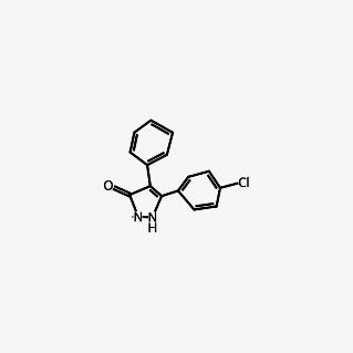 O=C1[N]NC(c2ccc(Cl)cc2)=C1c1ccccc1